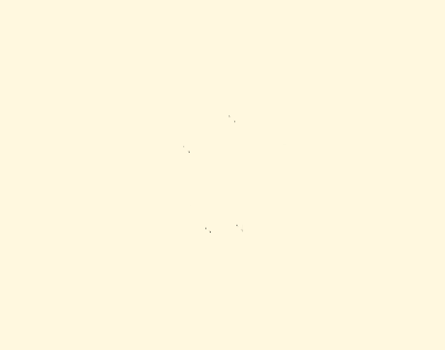 O=C1N=NC(=O)c2c(Br)ncnc21